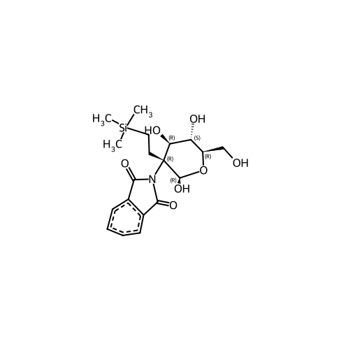 C[Si](C)(C)CC[C@]1(N2C(=O)c3ccccc3C2=O)[C@H](O)O[C@H](CO)[C@@H](O)[C@@H]1O